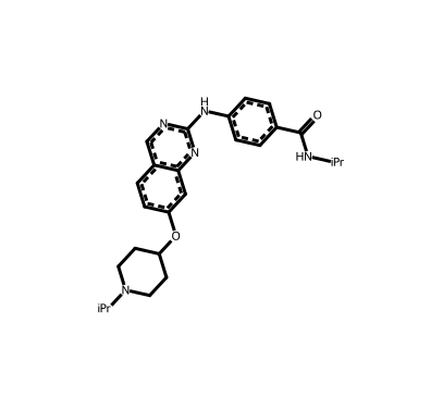 CC(C)NC(=O)c1ccc(Nc2ncc3ccc(OC4CCN(C(C)C)CC4)cc3n2)cc1